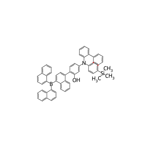 C[Si](C)(C)c1ccc(N(c2ccc(-c3ccc(B(c4cccc5ccccc45)c4cccc5ccccc45)c4ccccc34)c(O)c2)c2ccccc2-c2ccccc2)cc1